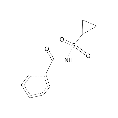 O=C(NS(=O)(=O)C1CC1)c1ccccc1